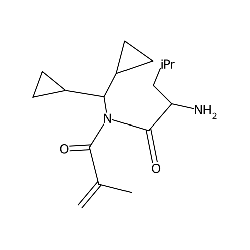 C=C(C)C(=O)N(C(=O)C(N)CC(C)C)C(C1CC1)C1CC1